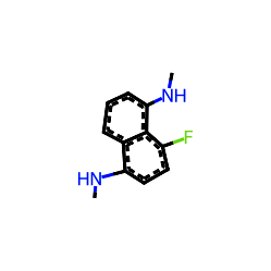 CNc1ccc(F)c2c(NC)cccc12